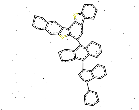 c1ccc(-c2ccc(-c3c4ccccc4c(-c4cc5c6ccccc6sc5c5c4sc4cc6ccccc6cc45)c4ccccc34)c3ccccc23)cc1